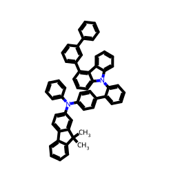 CC1(C)c2ccccc2-c2ccc(N(c3ccccc3)c3ccc(-c4ccccc4-n4c5ccccc5c5c(-c6cccc(-c7ccccc7)c6)cccc54)cc3)cc21